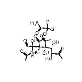 CC(=O)N[C@](O)(C=O)[C@](O)(C(C)=O)[C@@](O)(C(C)=O)[C@H](O)C(O)C(C)=O.NC(=O)C(Cl)(Cl)Cl